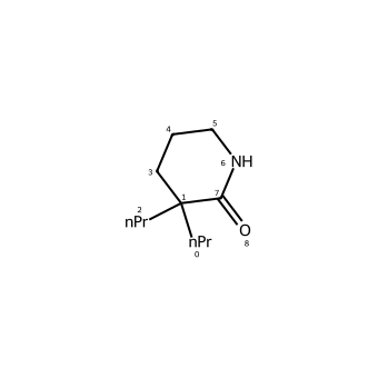 CCCC1(CCC)CCCNC1=O